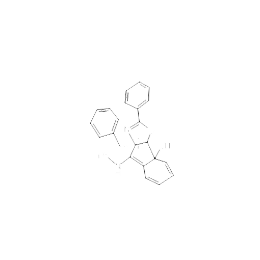 CC(C)NC1=C2C=CC=CC2(C)[C@@H]2OC(c3ccccc3)=N[C@]12Cc1ccccc1